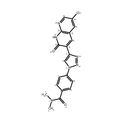 CN(C)C(=O)c1ccc(-n2cc(-c3cc4cc(Cl)cnc4[nH]c3=O)nn2)cc1